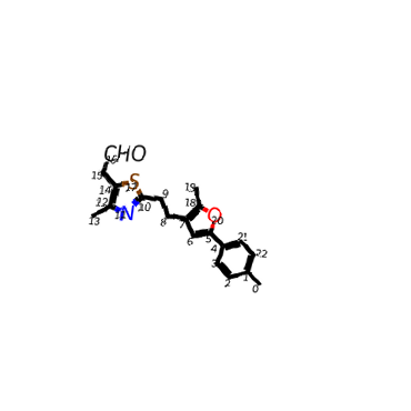 Cc1ccc(-c2cc(CCc3nc(C)c(CC=O)s3)c(C)o2)cc1